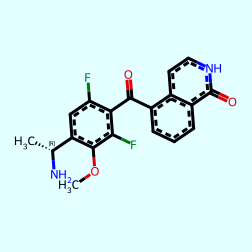 COc1c([C@@H](C)N)cc(F)c(C(=O)c2cccc3c(=O)[nH]ccc23)c1F